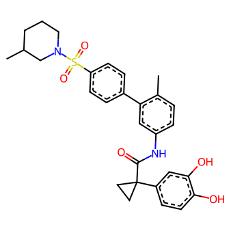 Cc1ccc(NC(=O)C2(c3ccc(O)c(O)c3)CC2)cc1-c1ccc(S(=O)(=O)N2CCCC(C)C2)cc1